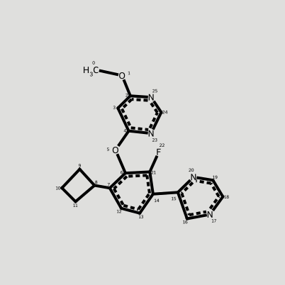 COc1cc(Oc2c(C3CCC3)ccc(-c3cnccn3)c2F)ncn1